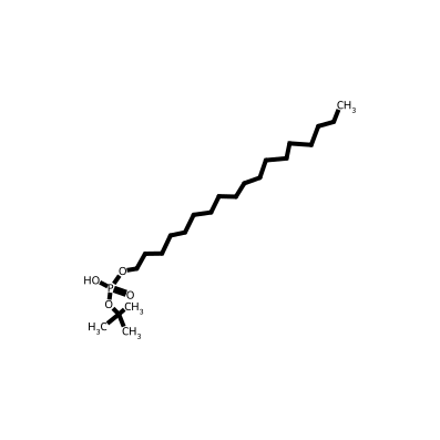 CCCCCCCCCCCCCCCCCCOP(=O)(O)OC(C)(C)C